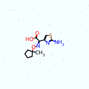 CC1(ON=C(C(=O)O)c2csc(N)n2)CCCC1